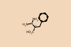 NN(N)[C@@H](Cc1ccccc1)C(=O)O